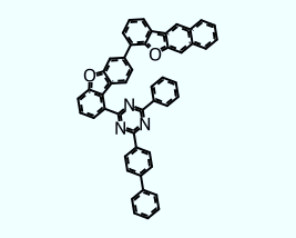 c1ccc(-c2ccc(-c3nc(-c4ccccc4)nc(-c4cccc5oc6cc(-c7cccc8c7oc7cc9ccccc9cc78)ccc6c45)n3)cc2)cc1